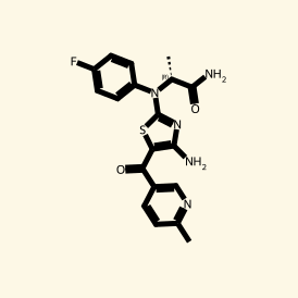 Cc1ccc(C(=O)c2sc(N(c3ccc(F)cc3)[C@H](C)C(N)=O)nc2N)cn1